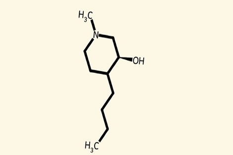 CCCCC1CCN(C)C[C@H]1O